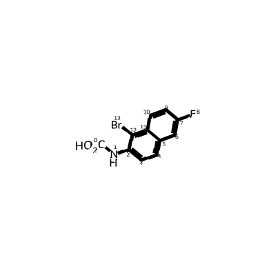 O=C(O)Nc1ccc2cc(F)ccc2c1Br